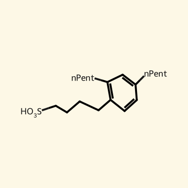 CCCCCc1ccc(CCCCS(=O)(=O)O)c(CCCCC)c1